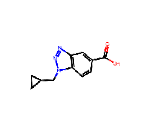 O=C(O)c1ccc2c(c1)nnn2CC1CC1